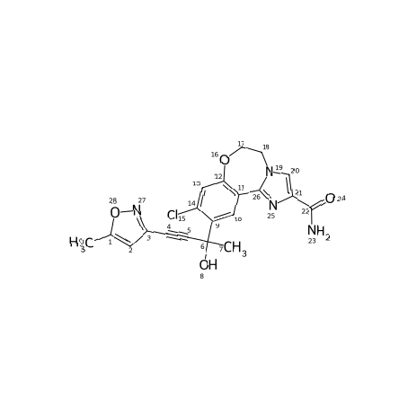 Cc1cc(C#CC(C)(O)c2cc3c(cc2Cl)OCCn2cc(C(N)=O)nc2-3)no1